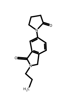 CCCN1Cc2ccc(N3CCCC3=O)cc2C1=O